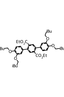 CCOC(=O)c1cc(-c2ccc(OCC(C)CC)c(OCC(C)CC)c2)c(C(=O)OCC)cc1-c1ccc(OCC(C)CC)c(OCC(C)CC)c1